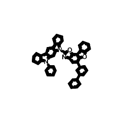 c1ccc(-c2cccc(-c3cc4nc(-n5c6ccccc6c6cc7c8ccccc8n(-c8ccccc8)c7cc65)oc4c4c3oc3ccccc34)c2)cc1